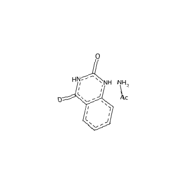 CC(N)=O.O=c1[nH]c(=O)c2ccccc2[nH]1